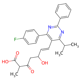 CC(C(=O)O)C(=O)CC(O)C=Cc1c(-c2ccc(F)cc2)nc(-c2ccccc2)nc1C(C)C